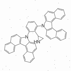 c1cc(-n2c3ccc4ccccc4c3c3c4ccccc4ccc32)c(C2CN2)c(-n2c3ccc4ccccc4c3c3c4ccccc4ccc32)c1